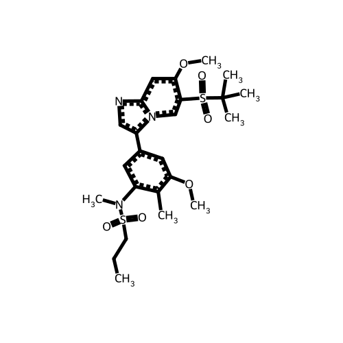 CCCS(=O)(=O)N(C)c1cc(-c2cnc3cc(OC)c(S(=O)(=O)C(C)(C)C)cn23)cc(OC)c1C